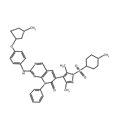 Cc1nn(S(=O)(=O)C2CCN(C)CC2)c(C)c1-c1cc2cnc(Nc3ccc(OC4CCN(C)C4)cc3)nc2n(-c2ccccc2)c1=O